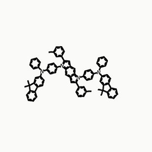 Cc1cccc(-c2cc3cc4c(cc(-c5cccc(C)c5)n4-c4ccc(N(c5ccccc5)c5ccc6c(c5)C(C)(C)c5ccccc5-6)cc4)cc3n2-c2ccc(N(c3ccccc3)c3ccc4c(c3)C(C)(C)c3ccccc3-4)cc2)c1